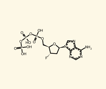 Nc1ncnc2c1ncn2[C@H]1C[C@H](F)[C@@H](COP(=O)(O)OP(=O)(O)OP(=O)(O)O)O1